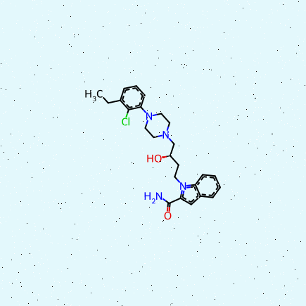 CCc1cccc(N2CCN(C[C@H](O)CCn3c(C(N)=O)cc4ccccc43)CC2)c1Cl